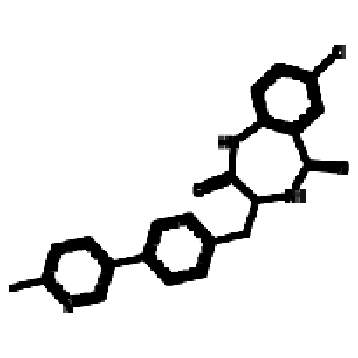 Cc1ccc(-c2ccc(CC3NC(=O)c4cc(Cl)ccc4NC3=O)cc2)cn1